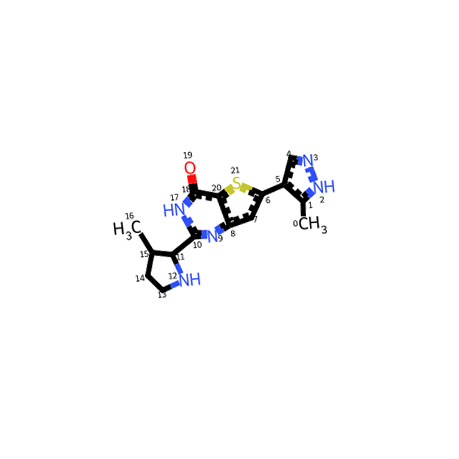 Cc1[nH]ncc1-c1cc2nc(C3NCCC3C)[nH]c(=O)c2s1